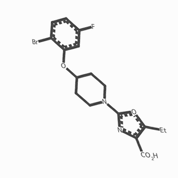 CCc1oc(N2CCC(Oc3cc(F)ccc3Br)CC2)nc1C(=O)O